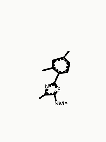 CNc1sc(-c2ccc(C)cc2C)nc1C